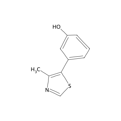 Cc1ncsc1-c1cccc(O)c1